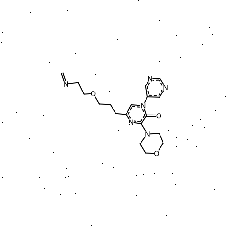 C=NCCOCCCc1cn(-c2cncnc2)c(=O)c(N2CCOCC2)n1